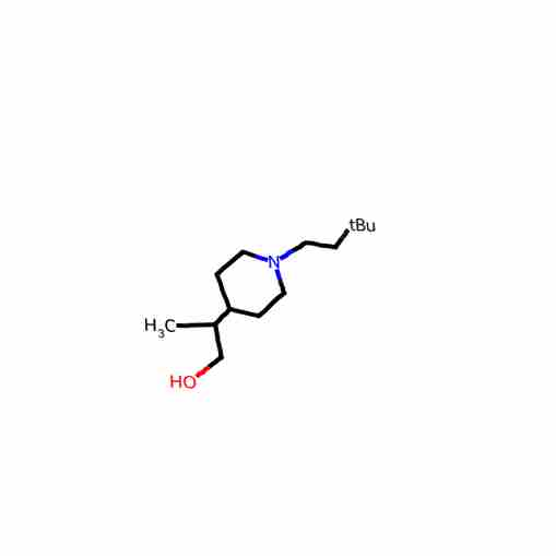 CC(CO)C1CCN(CCC(C)(C)C)CC1